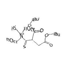 CCCCCCCC[N+](S)(CCCCCCCC)C(=S)C(CC(=O)OC(C)CC)C(=O)OC(C)CC